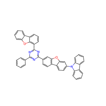 c1ccc(-c2nc(-c3ccc4c(c3)oc3cc(-n5c6ccccc6c6ccccc65)ccc34)nc(-c3cccc4c3oc3ccccc34)n2)cc1